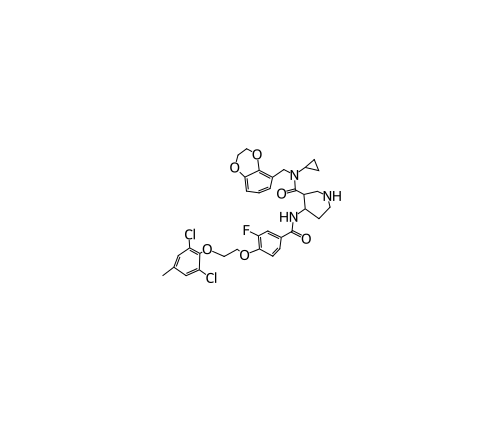 Cc1cc(Cl)c(OCCOc2ccc(C(=O)NC3CCNCC3C(=O)N(Cc3cccc4c3OCCO4)C3CC3)cc2F)c(Cl)c1